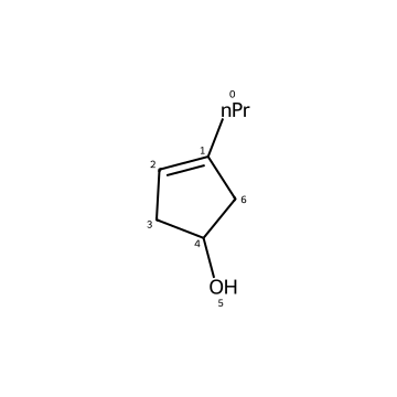 CCCC1=CCC(O)C1